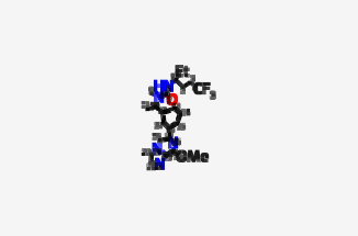 CCC(CCC(F)(F)F)NC(=O)N(C)[C@H](C)c1cccc(-c2cn3ccnc3c(OC)n2)c1